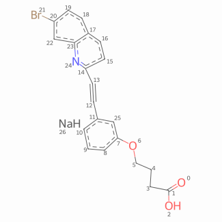 O=C(O)CCCOc1cccc(C#Cc2ccc3ccc(Br)cc3n2)c1.[NaH]